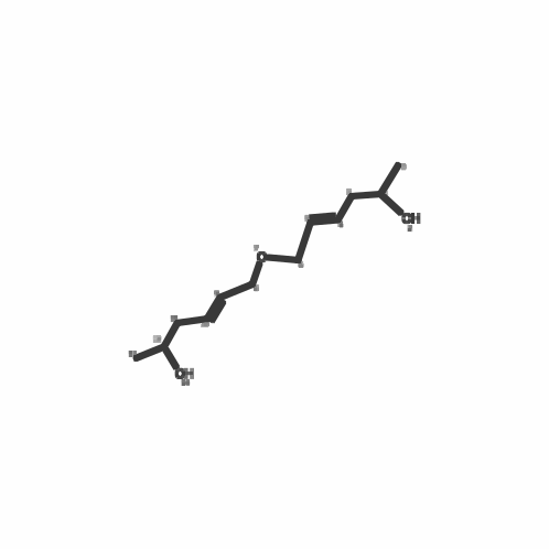 CC(O)CC=CCOCC=CCC(C)O